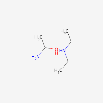 CC(N)O.CCNCC